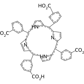 O=C(O)c1cccc(-c2c3nc(c(-c4cccc(C(=O)O)c4)c4ccc([nH]4)c(-c4cccc(C(=O)O)c4)c4nc(c(-c5cccc(C(=O)O)c5)c5ccc2[nH]5)C=C4)C=C3)c1